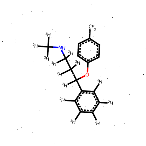 [2H]c1c([2H])c([2H])c(C([2H])(Oc2ccc(C(F)(F)F)cc2)C([2H])([2H])C([2H])([2H])NC([2H])([2H])[2H])c([2H])c1[2H]